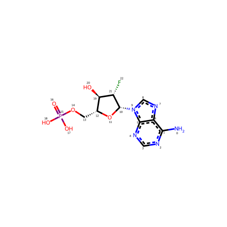 Nc1ncnc2c1ncn2[C@@H]1O[C@H](COP(=O)(O)O)[C@@H](O)[C@@H]1F